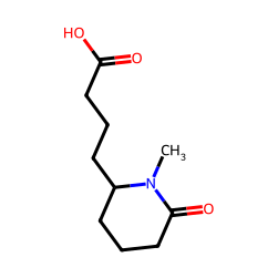 CN1C(=O)CCCC1CCCC(=O)O